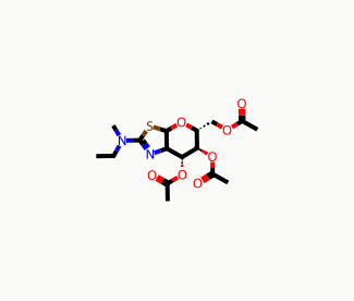 CCN(C)C1=NC2C(O[C@H](COC(C)=O)[C@@H](OC(C)=O)[C@@H]2OC(C)=O)S1